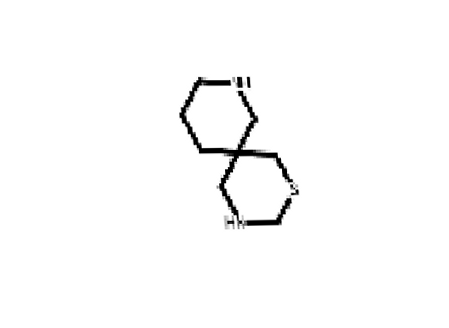 C1CNCC2(C1)CNCSC2